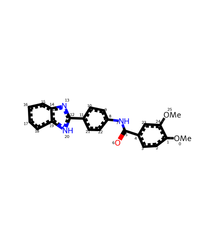 COc1ccc(C(=O)Nc2ccc(-c3nc4ccccc4[nH]3)cc2)cc1OC